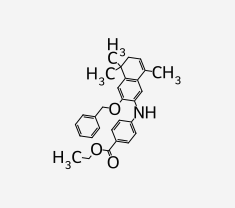 CCOC(=O)c1ccc(Nc2cc3c(cc2OCc2ccccc2)C(C)(C)CC=C3C)cc1